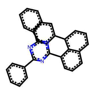 c1ccc(-c2nc(-c3ccccc3)nc(-c3cccc4cccc(-c5ccccc5)c34)n2)cc1